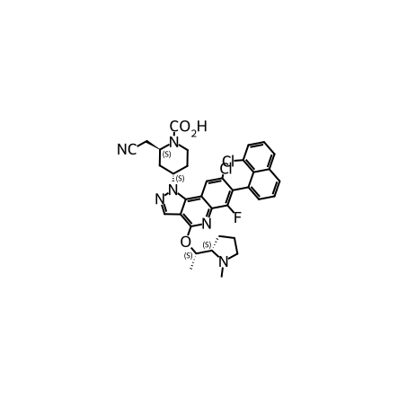 C[C@H](Oc1nc2c(F)c(-c3cccc4cccc(Cl)c34)c(Cl)cc2c2c1cnn2[C@H]1CCN(C(=O)O)[C@H](CC#N)C1)[C@@H]1CCCN1C